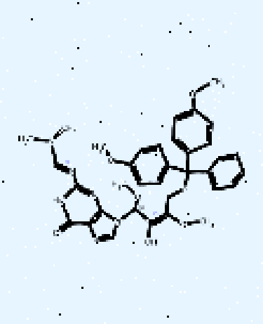 CO/C(CSC(c1ccccc1)(c1ccc(OC)cc1)c1ccc(OC)cc1)=C(\O)[C@H](OC)n1cnc2c(=O)[nH]c(/N=C/N(C)C)nc21